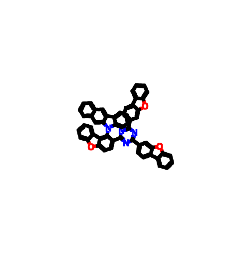 c1ccc2cc3c(cc2c1)c1ccccc1n3-c1c(-c2nc(-c3ccc4c(c3)oc3ccccc34)nc(-c3ccc4c(c3)oc3ccccc34)n2)ccc2oc3ccccc3c12